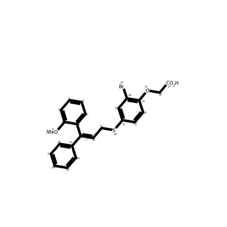 COc1ccccc1/C(=C\CSc1ccc(OCC(=O)O)c(Br)c1)c1ccccc1